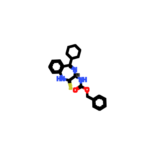 O=C(N[C@H]1N=C(C2CCCCC2)c2ccccc2NC1=S)OCc1ccccc1